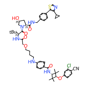 CC(C)(C)[C@H](NC(=O)COCCCCNc1ccc(C(=O)N[C@H]2C(C)(C)[C@H](Oc3ccc(C#N)c(Cl)c3)C2(C)C)cc1)C(=O)N1C[C@H](O)C[C@H]1C(=O)NCc1ccc(-c2scnc2C2CC2)cc1